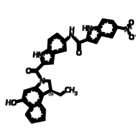 CC[C@@H]1CN(C(=O)c2cc3cc(NC(=O)c4cc5cc([N+](=O)[O-])ccc5[nH]4)ccc3[nH]2)c2cc(O)c3ccccc3c21